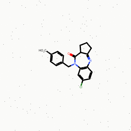 O=C(O)c1ccc(CN2C(=O)C3CCCC3=Nc3ccc(Cl)cc32)cc1